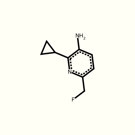 Nc1ccc(CF)nc1C1CC1